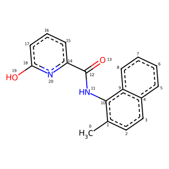 Cc1ccc2ccccc2c1NC(=O)c1cccc(O)n1